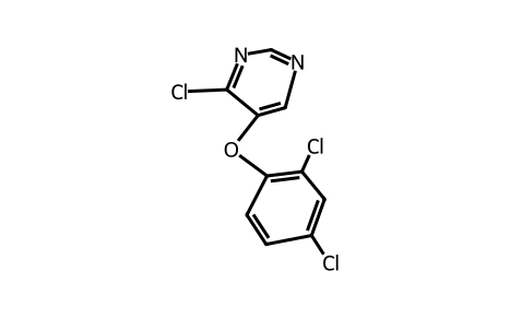 Clc1ccc(Oc2cncnc2Cl)c(Cl)c1